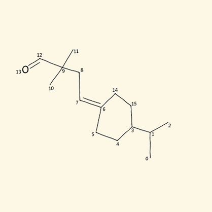 CC(C)C1CCC(=CCC(C)(C)C=O)CC1